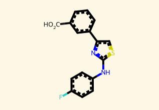 O=C(O)c1cccc(-c2csc(Nc3ccc(F)cc3)n2)c1